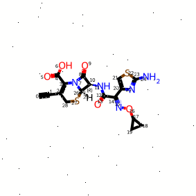 C#CC1=C(C(=O)O)N2C(=O)[C@@H](NC(=O)/C(=N/OC3CC3)c3csc(N)n3)[C@H]2SC1